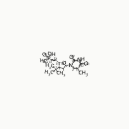 Cc1cn([C@H]2CC(C(C)(C)C)[C@@H](/C=C/P(=O)(O)O)O2)c(=O)[nH]c1=O